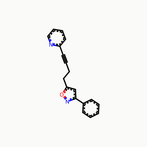 C(#Cc1ccccn1)CCc1cc(-c2ccccc2)no1